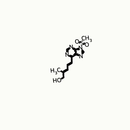 C/C(=C\C=C\c1ncnc2c1ncn2S(C)(=O)=O)CO